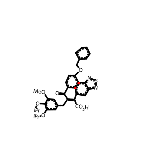 COc1cc(C/C(C(=O)c2ccc(OCc3ccccc3)cc2)=C(\C(=O)O)c2ccc3nsnc3c2)cc(OC(C)C)c1OC(C)C